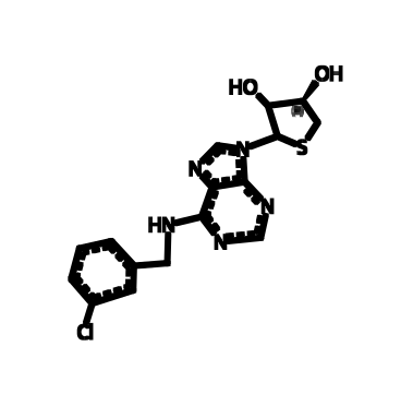 OC1C(n2cnc3c(NCc4cccc(Cl)c4)ncnc32)SC[C@@H]1O